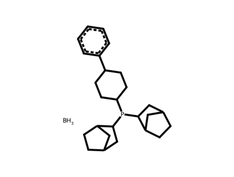 B.c1ccc(C2CCC(P(C3CC4CCC3C4)C3CC4CCC3C4)CC2)cc1